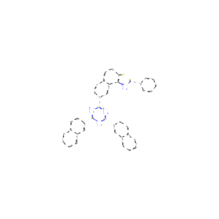 c1ccc(-c2nc3c(ccc4ccc(-c5nc(-c6ccc7ccccc7c6)nc(-c6ccc7ccccc7c6)n5)cc43)s2)cc1